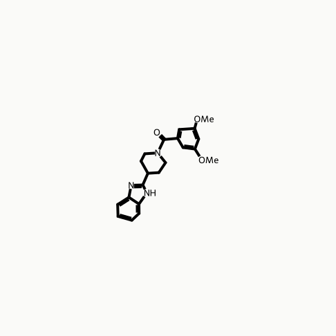 COc1cc(OC)cc(C(=O)N2CCC(c3nc4ccccc4[nH]3)CC2)c1